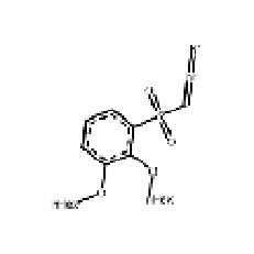 CCCCCCOc1cccc(S(=O)(=O)C=[N+]=[N-])c1OCCCCCC